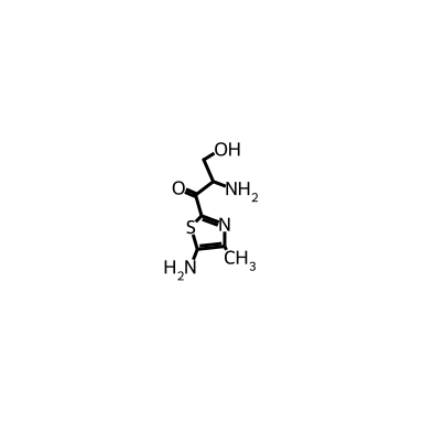 Cc1nc(C(=O)C(N)CO)sc1N